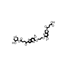 COc1cc2c(nc1OCCCOc1nc3cc(C(=O)CCC(=O)O[C@H]4CSSC[C@@H]4O)sc3cc1OC)CN(C(=O)CCC(=O)O)C2